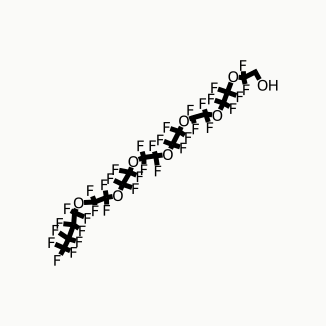 OCC(F)(F)OC(F)(F)C(F)(F)OC(F)(F)C(F)(F)OC(F)(F)C(F)(F)OC(F)(F)C(F)(F)OC(F)(F)C(F)(F)OC(F)(F)C(F)(F)OC(F)(F)C(F)(F)C(F)(F)C(F)(F)F